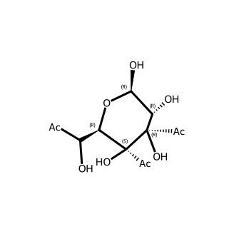 CC(=O)C(O)[C@H]1O[C@@H](O)[C@H](O)[C@](O)(C(C)=O)[C@]1(O)C(C)=O